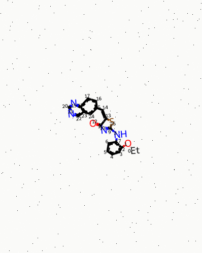 CCOc1ccccc1NC1=NC(=O)C(=Cc2ccc3ncncc3c2)S1